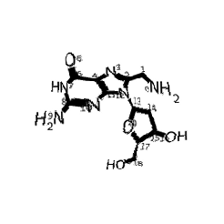 NCc1nc2c(=O)[nH]c(N)nc2n1[C@H]1CC(O)[C@@H](CO)O1